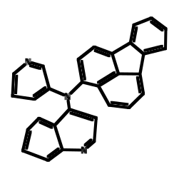 c1cncc(N(c2ccnc3ccccc23)c2ccc3c4c(cccc24)-c2ccccc2-3)c1